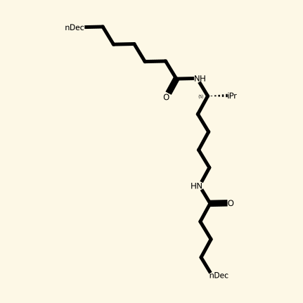 CCCCCCCCCCCCCCCC(=O)N[C@@H](CCCCNC(=O)CCCCCCCCCCCCC)C(C)C